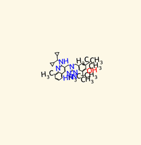 Cc1cccc2cc(CN(Cc3cc(C(C)(C)C)c(O)c(C(C)(C)C)c3)c3nn[nH]n3)c(NC(C3CC3)C3CC3)nc12